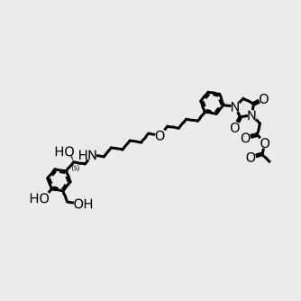 CC(=O)OC(=O)CN1C(=O)CN(c2cccc(CCCCOCCCCCCNC[C@@H](O)c3ccc(O)c(CO)c3)c2)C1=O